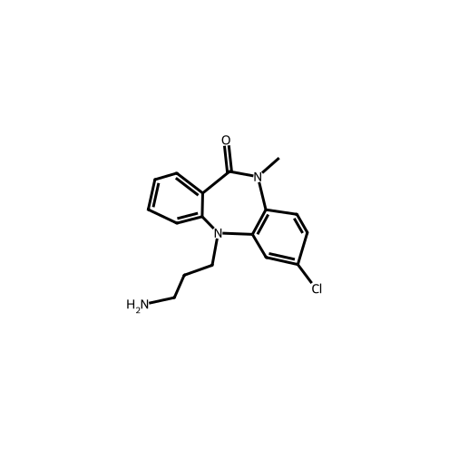 CN1C(=O)c2ccccc2N(CCCN)c2cc(Cl)ccc21